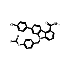 NC(=O)c1cccc2c1c1[c]cc(-c3ccc(Cl)cc3)cc1n2Cc1ccc(OC(F)F)cc1